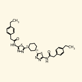 CCc1ccc(CC(=O)Nc2nnc([C@H]3CCC[C@H](c4nnc(NC(=O)Cc5ccc(CC)cc5)s4)C3)s2)cc1